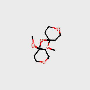 COC1(OC2(OC)CCOCC2)CCOCC1